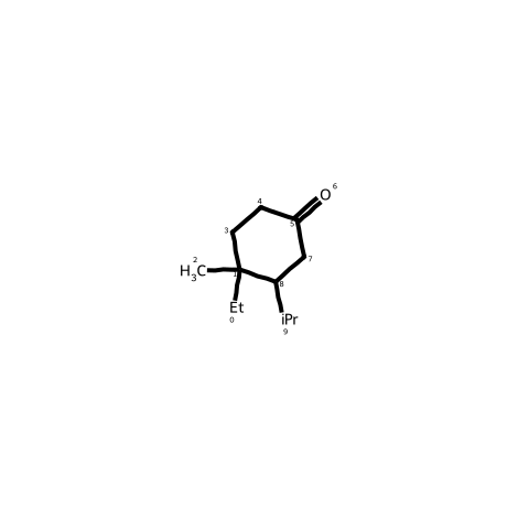 CCC1(C)CCC(=O)CC1C(C)C